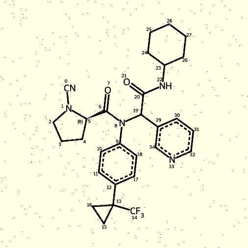 N#CN1CCC[C@@H]1C(=O)N(c1ccc(C2(C(F)(F)F)CC2)cc1)C(C(=O)NC1CCCCC1)c1cccnc1